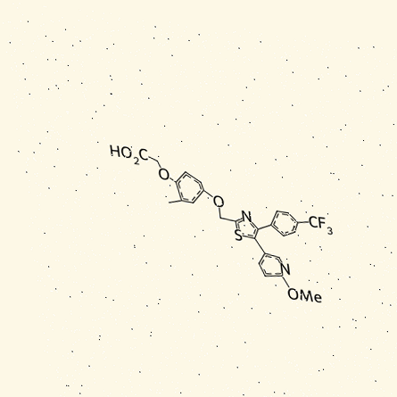 COc1ccc(-c2sc(COc3ccc(OCC(=O)O)c(C)c3)nc2-c2ccc(C(F)(F)F)cc2)cn1